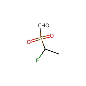 CC(F)S(=O)(=O)C=O